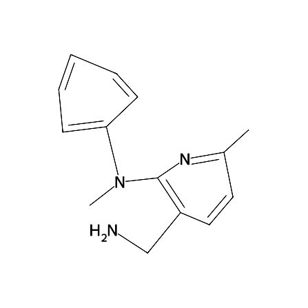 Cc1ccc(CN)c(N(C)c2ccccc2)n1